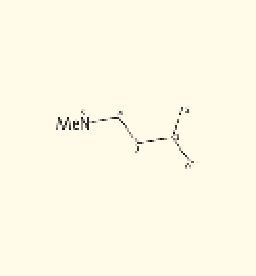 [CH2]C(C)CCNC